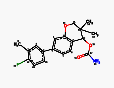 Cc1cc(-c2ccc3c(c2)OCC(C)(C)C3OC(N)=O)ccc1F